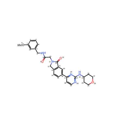 COc1cccc(CNC(=O)CN2Cc3ccc(-c4ccnc(NC5CCOCC5)n4)cc3C2=O)c1